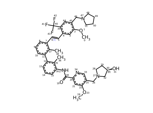 COc1cc(/C=C/c2cccc(-c3cccc(NC(=O)c4cc(OC)c(CN5CC[C@@H](O)C5)cn4)c3C)c2C)c(C(F)(F)F)cc1CN1CCCC1